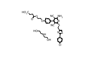 N#Cc1c(N)nc(SCc2csc(-c3ccc(Cl)cc3)n2)c(C#N)c1-c1ccc(OCCOC(=O)CCC(=O)O)cc1.OCCNCCO